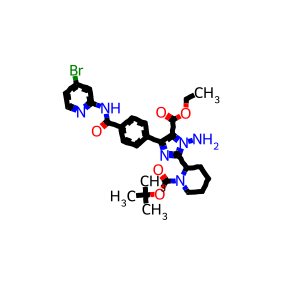 CCOC(=O)c1c(-c2ccc(C(=O)Nc3cc(Br)ccn3)cc2)nc(C2CCCCN2C(=O)OC(C)(C)C)n1N